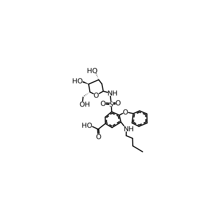 CCCCNc1cc(C(=O)O)cc(S(=O)(=O)NC2C[C@@H](O)[C@H](O)[C@@H](CO)O2)c1Oc1ccccc1